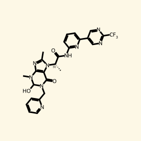 Cc1nc2c(n1[C@@H](C)C(=O)Nc1cccc(-c3cnc(C(F)(F)F)nc3)n1)C(=O)N(Cc1ccccn1)C(O)N2C